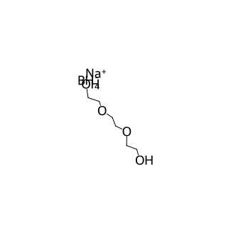 OCCOCCOCCO.[BH4-].[Na+]